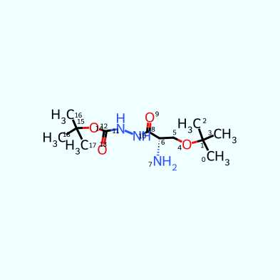 CC(C)(C)OC[C@H](N)C(=O)NNC(=O)OC(C)(C)C